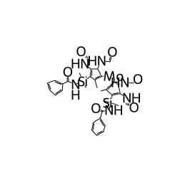 CC1=[C]([Mo][C]2=C(C)C([Si](C)(C)NC(=O)c3ccccc3)=C(NC=O)C2NC=O)C(NC=O)C(NC=O)=C1[Si](C)(C)NC(=O)c1ccccc1